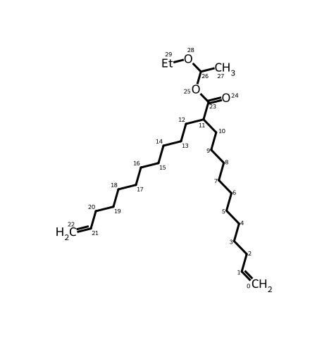 C=CCCCCCCCCCC(CCCCCCCCCC=C)C(=O)OC(C)OCC